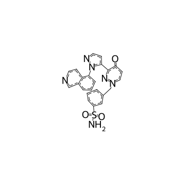 NS(=O)(=O)c1cccc(Cn2ccc(=O)c(-c3ccnn3-c3cccc4cnccc34)n2)c1